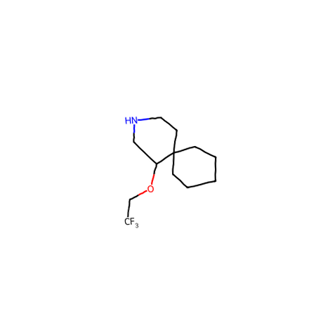 FC(F)(F)COC1CNCCC12CCCCC2